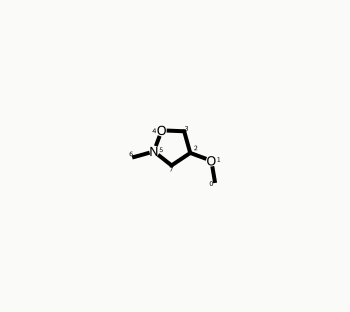 COC1CON(C)C1